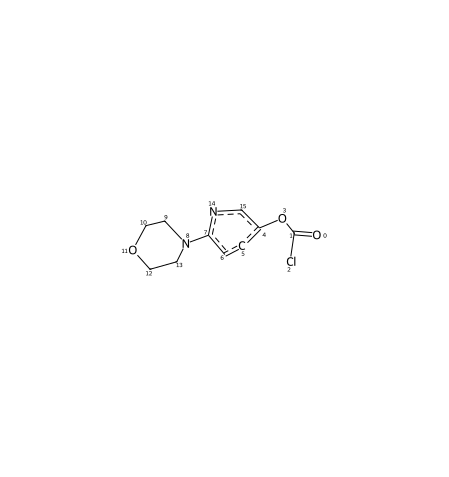 O=C(Cl)Oc1ccc(N2CCOCC2)nc1